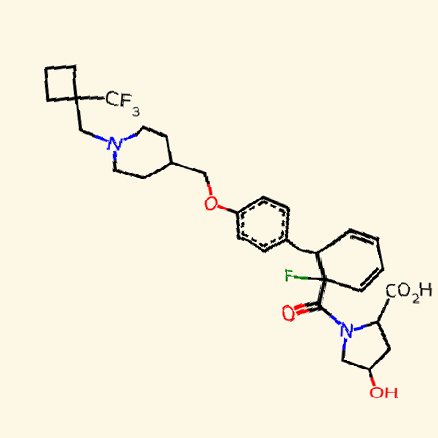 O=C(O)C1CC(O)CN1C(=O)C1(F)C=CC=CC1c1ccc(OCC2CCN(CC3(C(F)(F)F)CCC3)CC2)cc1